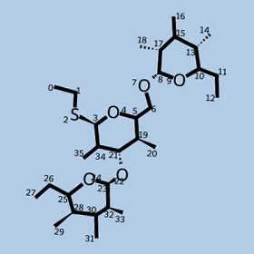 CCS[C@H]1OC(CO[C@H]2OC(CC)[C@@H](C)C(C)[C@H]2C)[C@@H](C)[C@H](O[C@@H]2OC(CC)[C@H](C)C(C)[C@@H]2C)C1C